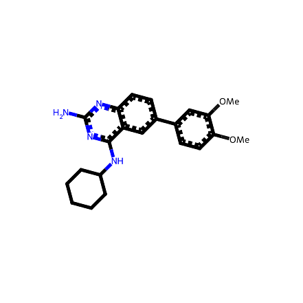 COc1ccc(-c2ccc3nc(N)nc(NC4CCCCC4)c3c2)cc1OC